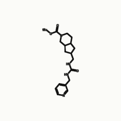 CC(C)(C)OC(=O)N1CCC2CC(CNC(=O)NCc3cccnc3)CC2C1